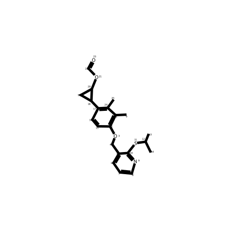 Cc1c(OCc2cccnc2SC(C)C)ccc(C2CC2OC=O)c1C